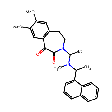 CCC(N1CCc2cc(OC)c(OC)cc2C(=O)C1=O)N(C)C(C)c1cccc2ccccc12